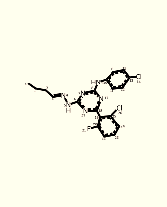 CCCC=NNc1nc(Nc2ccc(Cl)cc2)nc(-c2c(F)cccc2Cl)n1